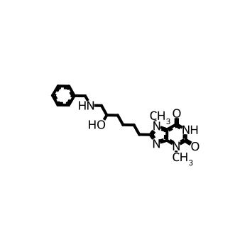 Cn1c(CCCCC(O)CNCc2ccccc2)nc2c1c(=O)[nH]c(=O)n2C